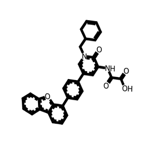 O=C(O)C(=O)Nc1cc(-c2ccc(-c3cccc4c3oc3ccccc34)cc2)cn(CC2C=CC=CC2)c1=O